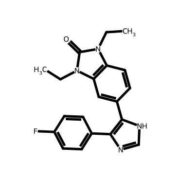 CCn1c(=O)n(CC)c2cc(-c3[nH]cnc3-c3ccc(F)cc3)ccc21